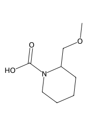 COCC1CCCCN1C(=O)O